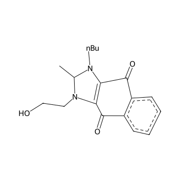 CCCCN1C2=C(C(=O)c3ccccc3C2=O)N(CCO)C1C